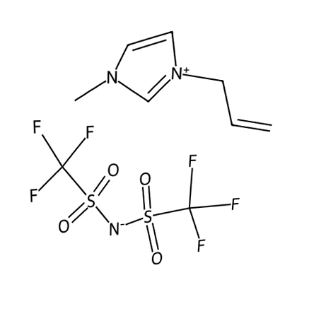 C=CC[n+]1ccn(C)c1.O=S(=O)([N-]S(=O)(=O)C(F)(F)F)C(F)(F)F